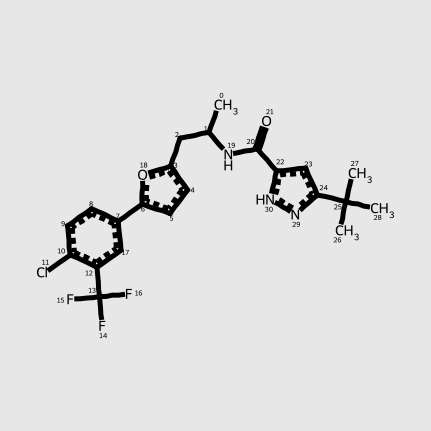 CC(Cc1ccc(-c2ccc(Cl)c(C(F)(F)F)c2)o1)NC(=O)c1cc(C(C)(C)C)n[nH]1